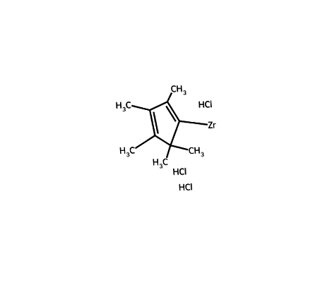 CC1=C(C)C(C)(C)[C]([Zr])=C1C.Cl.Cl.Cl